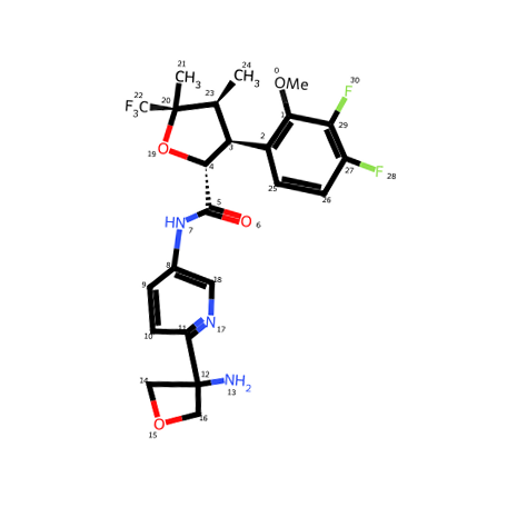 COc1c([C@H]2[C@H](C(=O)Nc3ccc(C4(N)COC4)nc3)O[C@@](C)(C(F)(F)F)[C@H]2C)ccc(F)c1F